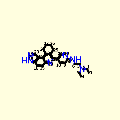 CCN(CC)CCNc1ccc(-c2nc3ccc4[nH]ncc4c3c3c2CCCC3)cn1